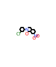 O=c1c2cc([N+](=O)[O-])ccc2ccn1-c1cccc(Cl)c1